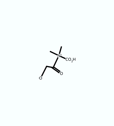 C[N+](C)(C(=O)O)C(=O)C[O]